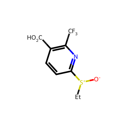 CC[S+]([O-])c1ccc(C(=O)O)c(C(F)(F)F)n1